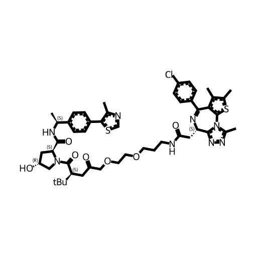 Cc1ncsc1-c1ccc([C@H](C)NC(=O)[C@@H]2C[C@@H](O)CN2C(=O)[C@@H](CC(=O)COCCOCCCNC(=O)C[C@@H]2N=C(c3ccc(Cl)cc3)c3c(sc(C)c3C)-n3c(C)nnc32)C(C)(C)C)cc1